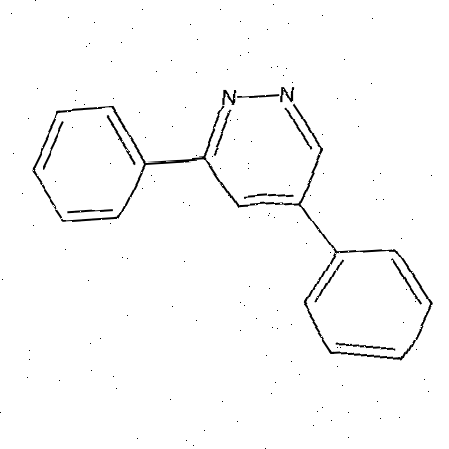 c1ccc(-c2cnnc(-c3ccccc3)c2)cc1